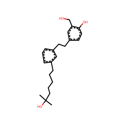 CC(C)(O)CCCCCc1cccc(CCc2ccc(O)c(CO)c2)c1